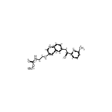 Cc1cccc(C(=O)Cc2ccc3ncc(OCCNC(=O)OC(C)(C)C)cc3c2)n1